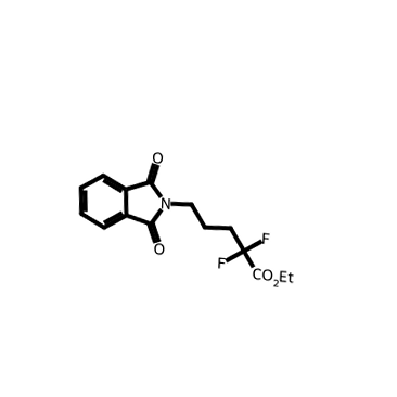 CCOC(=O)C(F)(F)CCCN1C(=O)c2ccccc2C1=O